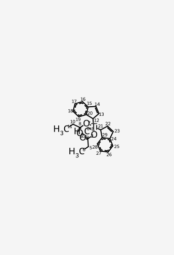 [CH2]=[Ti]([O]C(=O)CC)([O]C(=O)CC)([CH]1C=Cc2ccccc21)[CH]1C=Cc2ccccc21